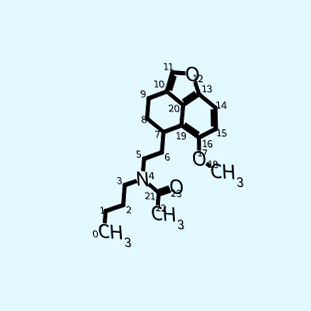 CCCCN(CCC1CCc2coc3ccc(OC)c1c23)C(C)=O